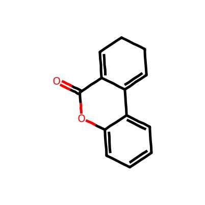 O=c1oc2ccccc2c2c1=CCCC=2